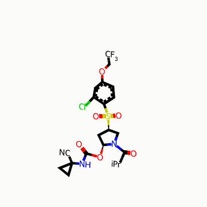 CC(C)C(=O)N1C[C@H](S(=O)(=O)c2ccc(OCC(F)(F)F)cc2Cl)C[C@@H]1OC(=O)NC1(C#N)CC1